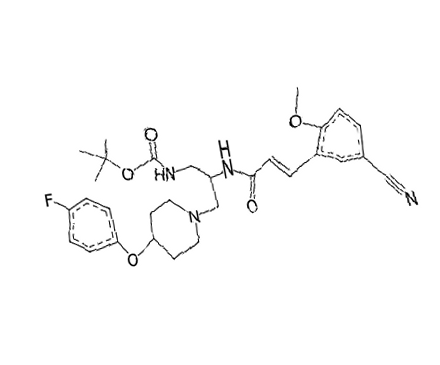 COc1ccc(C#N)cc1C=CC(=O)NC(CNC(=O)OC(C)(C)C)CN1CCC(Oc2ccc(F)cc2)CC1